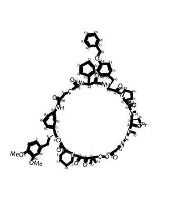 COc1ccc(CC[C@H]2OC(=O)[C@@H]3CCCCN3C(=O)C(=O)C(C)(C)COC(=O)/C=N\CN(C)C(=O)[C@H](CC(C)C)N(C)C(=O)[C@H]3CCCN3C(=O)[C@H](Cc3ccc(OCc4ccccc4)cc3)NC(=O)C(c3ccccc3)NC(=O)CCC(=O)Nc3cccc2c3)cc1OC